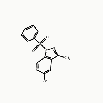 Cc1nn(S(=O)(=O)c2ccccc2)c2cnc(Br)cc12